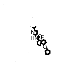 CC(C)c1ccc(NC(=O)C2CCCc3c(OCc4ccccc4)ccc(F)c32)cn1